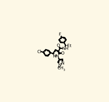 CC[C@H](NC(=O)c1cc(-c2ccc(Cl)cc2)nn(-c2cnn(C)c2)c1=O)c1ccc(F)cc1